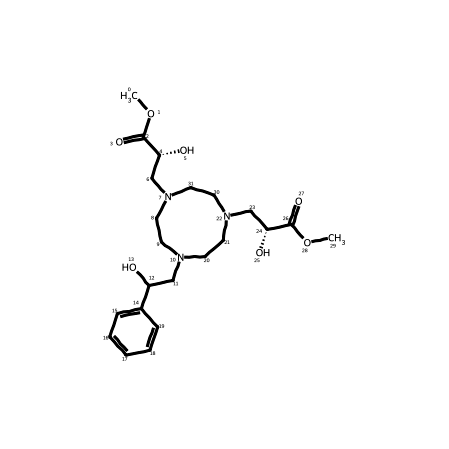 COC(=O)[C@H](O)CN1CCN(CC(O)c2ccccc2)CCN(C[C@@H](O)C(=O)OC)CC1